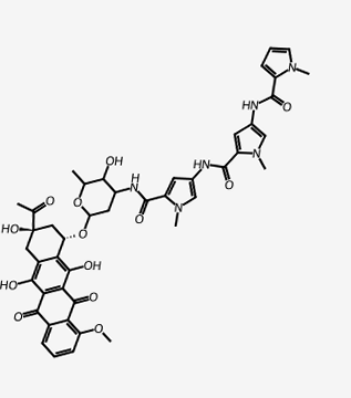 COc1cccc2c1C(=O)c1c(O)c3c(c(O)c1C2=O)C[C@](O)(C(C)=O)C[C@@H]3OC1CC(NC(=O)c2cc(NC(=O)c3cc(NC(=O)c4cccn4C)cn3C)cn2C)C(O)C(C)O1